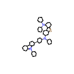 c1ccc(N(c2ccc(-c3ccc4c5ccccc5n(-c5ccccc5)c4c3)cc2)c2ccc3c(c2)sc2cccc(N(c4ccccc4)c4ccccc4)c23)cc1